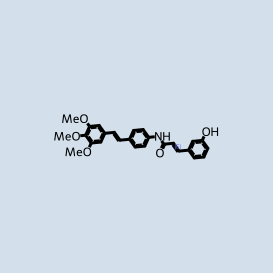 COc1cc(C=Cc2ccc(NC(=O)/C=C/c3cccc(O)c3)cc2)cc(OC)c1OC